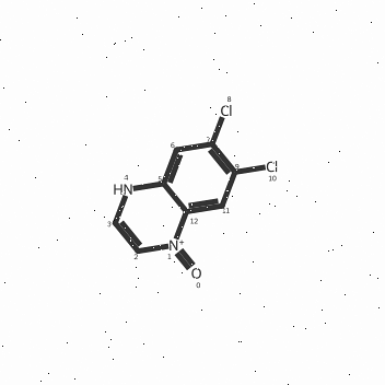 O=[n+]1cc[nH]c2cc(Cl)c(Cl)cc21